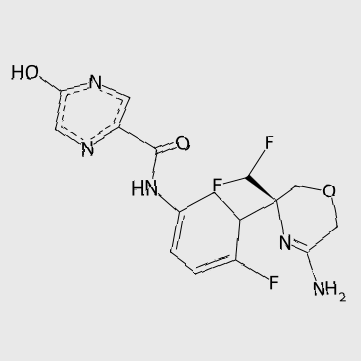 NC1=N[C@](C(F)F)(C2CC(NC(=O)c3cnc(O)cn3)=CC=C2F)COC1